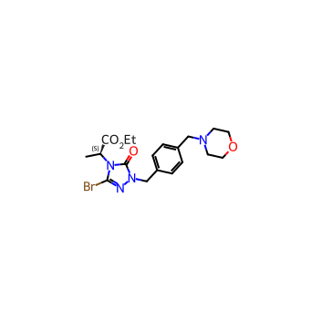 CCOC(=O)[C@H](C)n1c(Br)nn(Cc2ccc(CN3CCOCC3)cc2)c1=O